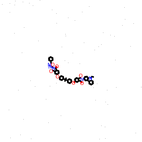 CCN1c2ccc(N3C(=O)c4ccc(Oc5ccc(C(C)(C)c6ccc(Oc7ccc8c(c7)C(=O)N(c7nnc(-c9ccccc9)o7)C8=O)cc6)cc5)cc4C3=O)cc2C2C=CC=CC21